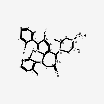 Cc1ccnc(C(C)C)c1N1CC(=O)N=C(N2C[C@@H](C)N(C(=O)O)C[C@@H]2C)c2cc(Cl)c(-c3ccccc3F)nc21